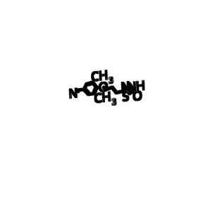 Cc1cc(C#N)cc(C)c1OCCCc1n[nH]c(=O)s1